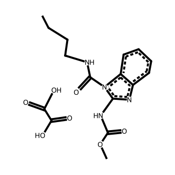 CCCCNC(=O)n1c(NC(=O)OC)nc2ccccc21.O=C(O)C(=O)O